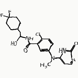 CN(c1ccc(Cl)c(C(=O)NC(O)C2CCC(F)(F)CC2)c1)c1ccnc(=O)[nH]1